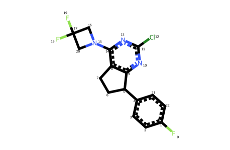 Fc1ccc(C2CCc3c2nc(Cl)nc3N2CC(F)(F)C2)cc1